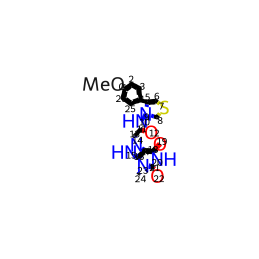 COc1ccc(C2=CSCN2NC(=O)Cn2[nH]c3c2c(=O)[nH]c(=O)n3C)cc1